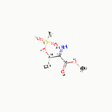 CC[C@H](OS(=O)(=O)CC)C(=N)C(=O)OC(C)(C)C